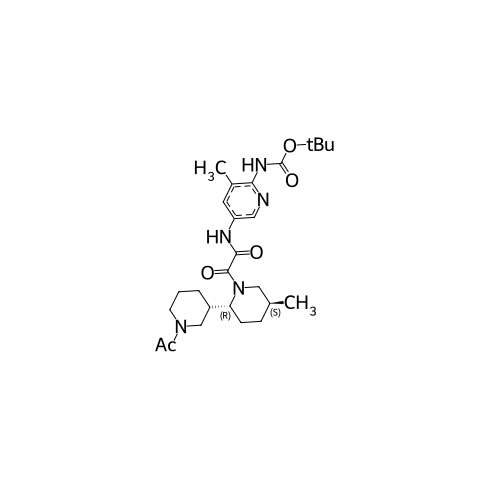 CC(=O)N1CCCC([C@H]2CC[C@H](C)CN2C(=O)C(=O)Nc2cnc(NC(=O)OC(C)(C)C)c(C)c2)C1